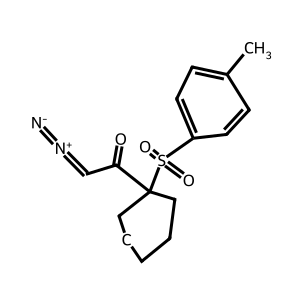 Cc1ccc(S(=O)(=O)C2(C(=O)C=[N+]=[N-])CCCCC2)cc1